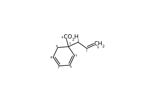 C=CCC1(C(=O)O)C=CC=CC1